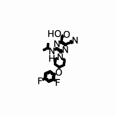 CC(C)Nc1nc(C(=O)O)c(C#N)nc1N1CCC(Oc2ccc(F)cc2F)CC1